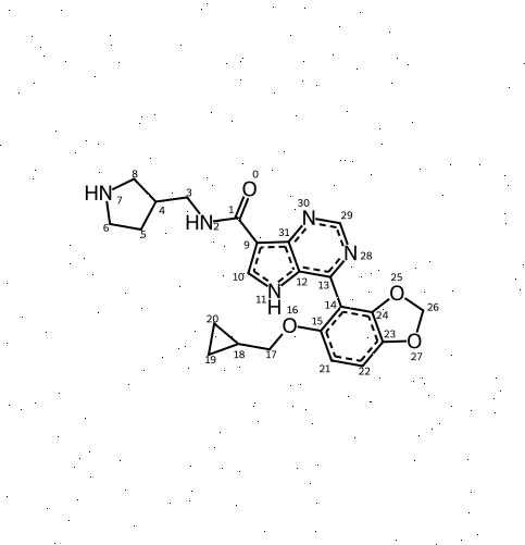 O=C(NCC1CCNC1)c1c[nH]c2c(-c3c(OCC4CC4)ccc4c3OCO4)ncnc12